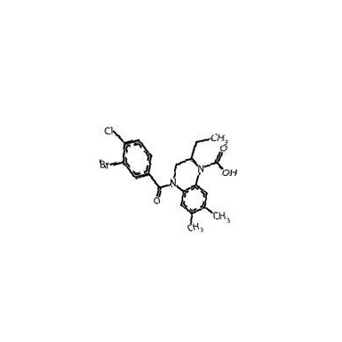 CCC1CN(C(=O)c2ccc(Cl)c(Br)c2)c2cc(C)c(C)cc2N1C(=O)O